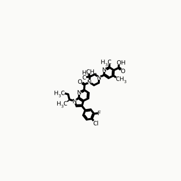 CC[C@H](C)n1cc(-c2ccc(Cl)c(F)c2)c2ccc(C(=O)N3CCN(c4cc(C)c(C(=O)O)c(C)n4)CC3(C)C)nc21